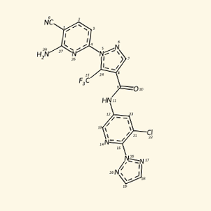 N#Cc1ccc(-n2ncc(C(=O)Nc3cnc(-n4nccn4)c(Cl)c3)c2C(F)(F)F)nc1N